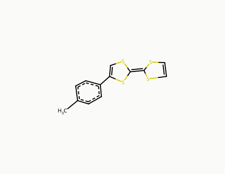 Cc1ccc(C2=CSC(=C3SC=CS3)S2)cc1